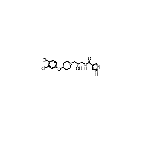 O=C(NC[C@@H](O)CN1CCC(Oc2ccc(Cl)c(Cl)c2)CC1)c1cn[nH]c1